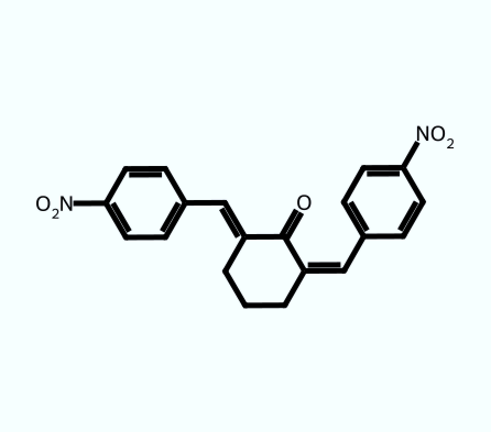 O=C1/C(=C\c2ccc([N+](=O)[O-])cc2)CCC/C1=C\c1ccc([N+](=O)[O-])cc1